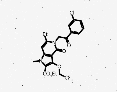 CCOC(=O)c1c(OCC(F)(F)F)c2c(=O)n(CC(=O)c3cccc(Cl)c3)c(CC)cc2n1C